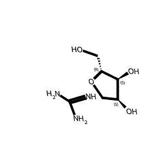 N=C(N)N.OC[C@H]1OC[C@H](O)[C@@H]1O